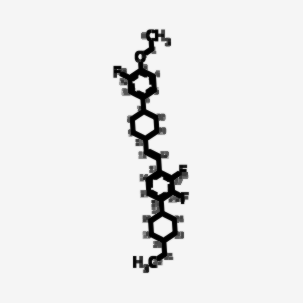 CCOc1ccc(C2CCC(/C=C/c3ccc(C4CCC(CC)CC4)c(F)c3F)CC2)cc1F